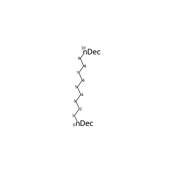 CCCCCC[CH]CCCCCCCCCCCCCCCCCCCCCC